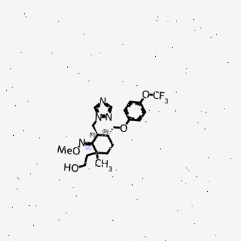 CO/N=C1/[C@@H](Cn2cncn2)[C@H](COc2ccc(OC(F)(F)F)cc2)CCC1(C)CCO